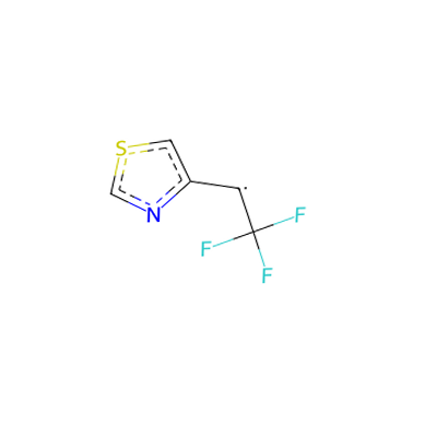 FC(F)(F)[CH]c1cscn1